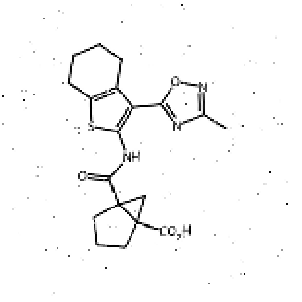 Cc1noc(-c2c(NC(=O)C34CCCC3(C(=O)O)C4)sc3c2CCCC3)n1